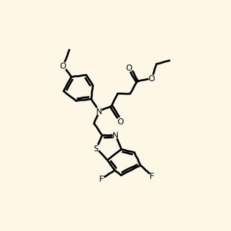 CCOC(=O)CCC(=O)N(Cc1nc2cc(F)cc(F)c2s1)c1ccc(OC)cc1